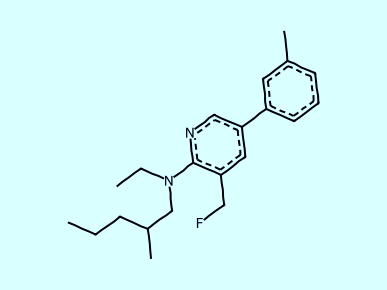 CCCC(C)CN(CC)c1ncc(-c2cccc(C)c2)cc1CF